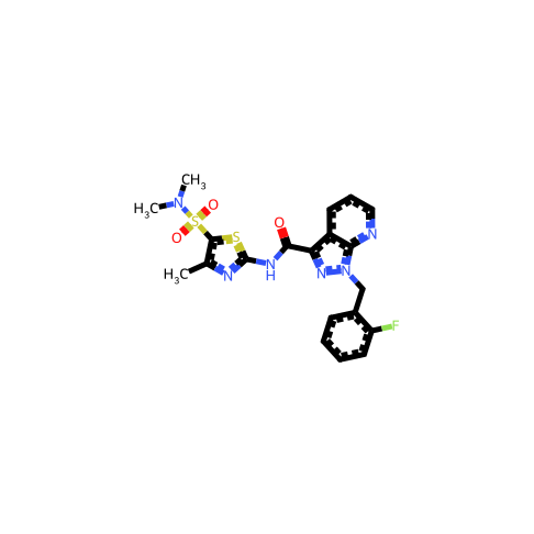 Cc1nc(NC(=O)c2nn(Cc3ccccc3F)c3ncccc23)sc1S(=O)(=O)N(C)C